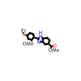 CCSc1ccc(-c2nc3cc(C(=O)OC)ccc3[nH]2)c(OC)c1